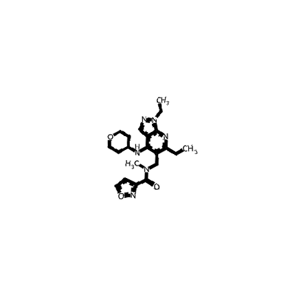 CCc1nc2c(cnn2CC)c(NC2CCOCC2)c1CN(C)C(=O)c1ccon1